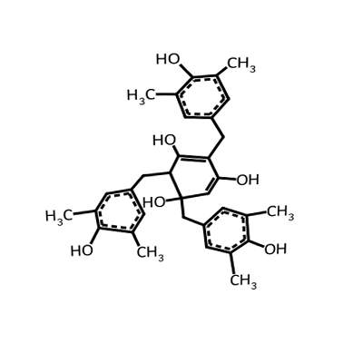 Cc1cc(CC2=C(O)C(Cc3cc(C)c(O)c(C)c3)C(O)(Cc3cc(C)c(O)c(C)c3)C=C2O)cc(C)c1O